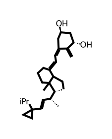 C=C1/C(=C\C=C2/CCCC3(C)C2CC[C@@H]3[C@H](C)/C=C/C2(C(C)C)CC2)C[C@@H](O)C[C@@H]1O